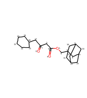 O=C(CC(=O)OCC12CC3CC(CC(C3)C1)C2)CC1CCCCC1